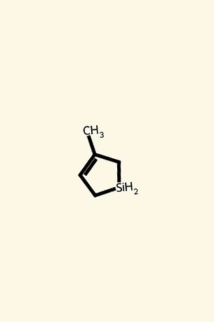 CC1=CC[SiH2]C1